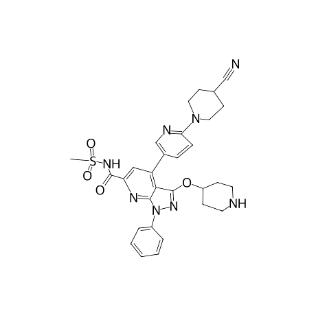 CS(=O)(=O)NC(=O)c1cc(-c2ccc(N3CCC(C#N)CC3)nc2)c2c(OC3CCNCC3)nn(-c3ccccc3)c2n1